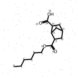 CCCCCCOC(=O)C1CC2CC(C(=O)O)C1C2